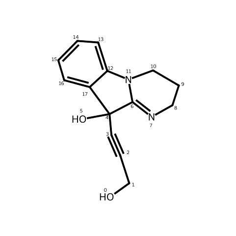 OCC#CC1(O)C2=NCCCN2c2ccccc21